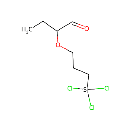 CCC(C=O)OCCC[Si](Cl)(Cl)Cl